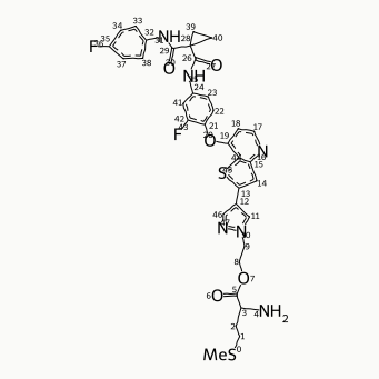 CSCCC(N)C(=O)OCCn1cc(-c2cc3nccc(Oc4ccc(NC(=O)C5(C(=O)Nc6ccc(F)cc6)CC5)cc4F)c3s2)cn1